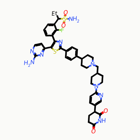 CCC(c1cccc(-c2nc(-c3ccc(C4CCN(CC5CCN(c6ccc(C7CCC(=O)NC7=O)cn6)CC5)CC4)cc3)sc2-c2ccnc(N)n2)c1F)S(N)(=O)=O